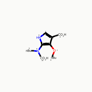 CCCCOc1c(C(=O)O)c[nH]c1N(CCCC)C(=O)O